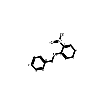 O=[N+]([O-])C1=C[CH]CC=C1OCc1ccccc1